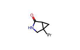 CC(C)C12CNC(=O)C1C2